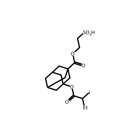 CCC(I)C(=O)OC12CC3CC(C1)CC(C(=O)OCCS(=O)(=O)O)(C3)C2